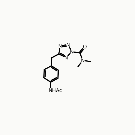 CC(=O)Nc1ccc(Cc2nnn(C(=O)N(C)C)n2)cc1